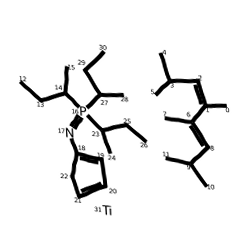 CC(=CC(C)C)C(C)=CC(C)C.CCC(C)P(=NC1=CC=CC1)(C(C)CC)C(C)CC.[Ti]